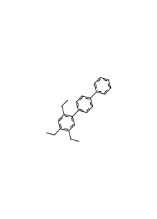 CCc1cc(CC)c(-c2ccc(-c3ccccc3)cc2)cc1CC